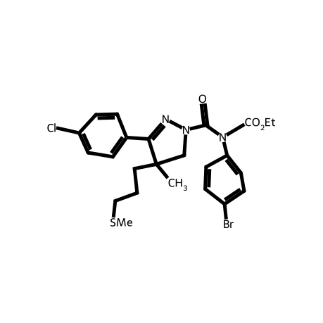 CCOC(=O)N(C(=O)N1CC(C)(CCCSC)C(c2ccc(Cl)cc2)=N1)c1ccc(Br)cc1